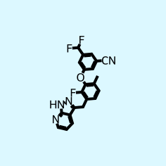 Cc1ccc(Cc2n[nH]c3ncccc23)c(F)c1Oc1cc(C#N)cc(C(F)F)c1